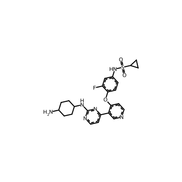 NC1CCC(Nc2nccc(-c3cnccc3Oc3ccc(NS(=O)(=O)C4CC4)cc3F)n2)CC1